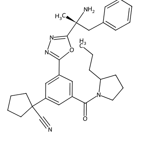 CCCC1CCCN1C(=O)c1cc(-c2nnc([C@](C)(N)Cc3ccccc3)o2)cc(C2(C#N)CCCC2)c1